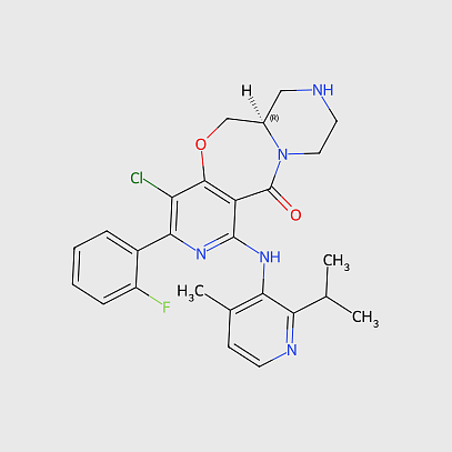 Cc1ccnc(C(C)C)c1Nc1nc(-c2ccccc2F)c(Cl)c2c1C(=O)N1CCNC[C@@H]1CO2